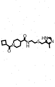 Cc1nc[nH]c1CSCCNC(=O)C1CCN(C(=O)C2CCC2)CC1